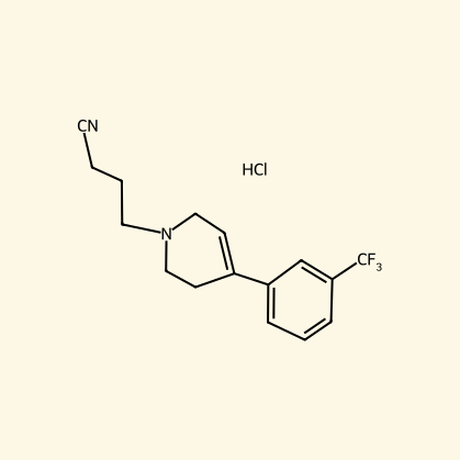 Cl.N#CCCCN1CC=C(c2cccc(C(F)(F)F)c2)CC1